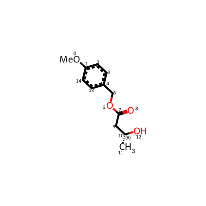 COc1ccc(COC(=O)C[C@@H](C)O)cc1